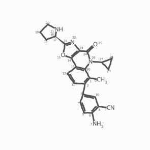 Cc1c(-c2ccc(N)c(C#N)c2)ccc2c3oc([C@H]4CCCN4)nc3c(=O)n(C3CC3)c12